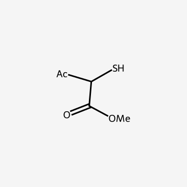 COC(=O)C(S)C(C)=O